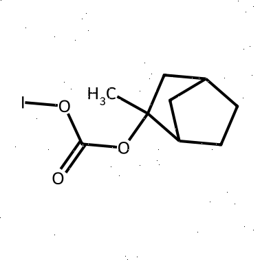 CC1(OC(=O)OI)CC2CCC1C2